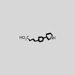 O=C(O)C/C=C/c1ccc(C2=CNCC=C2)cc1